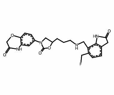 O=C1COc2ccc(N3CC(CCCNCc4c(CF)ccc5c4NC(=O)C5)OC3=O)cc2N1